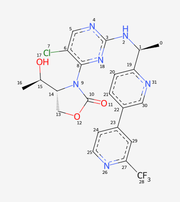 C[C@H](Nc1ncc(Cl)c(N2C(=O)OC[C@@H]2[C@@H](C)O)n1)c1ccc(-c2ccnc(C(F)(F)F)c2)cn1